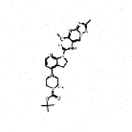 COc1nc2nc(C)nn2cc1NC(=O)N1CCc2c(N3CCN(C(=O)OC(C)(C)C)[C@@H](C)C3)ccnc21